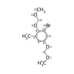 COCOc1cc(C)c(OCOC)c(Br)c1